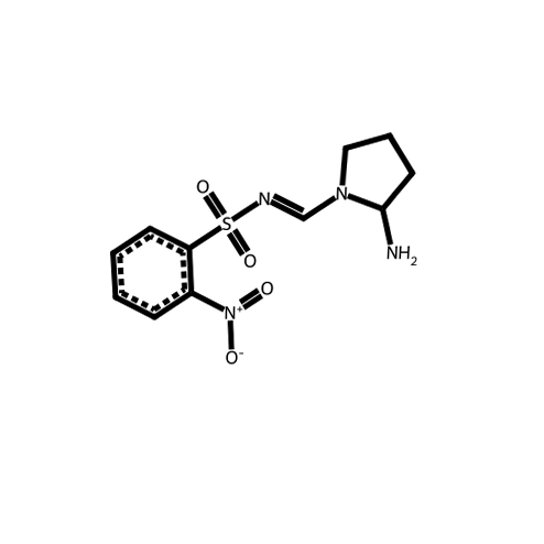 NC1CCCN1C=NS(=O)(=O)c1ccccc1[N+](=O)[O-]